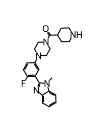 Cn1c(-c2cc(N3CCN(C(=O)C4CCNCC4)CC3)ccc2F)nc2ccccc21